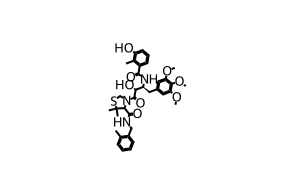 COc1cc(C[C@H](NC(=O)c2cccc(O)c2C)[C@H](O)C(=O)N2CSC(C)(C)C2C(=O)NCc2ccccc2C)cc(OC)c1OC